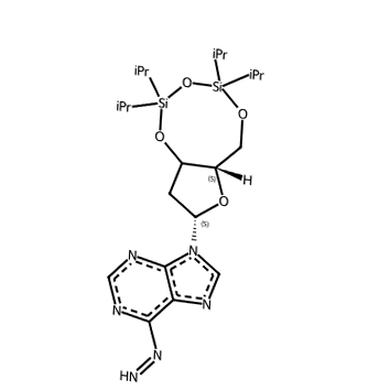 CC(C)[Si]1(C(C)C)OC[C@@H]2O[C@H](n3cnc4c(N=N)ncnc43)CC2O[Si](C(C)C)(C(C)C)O1